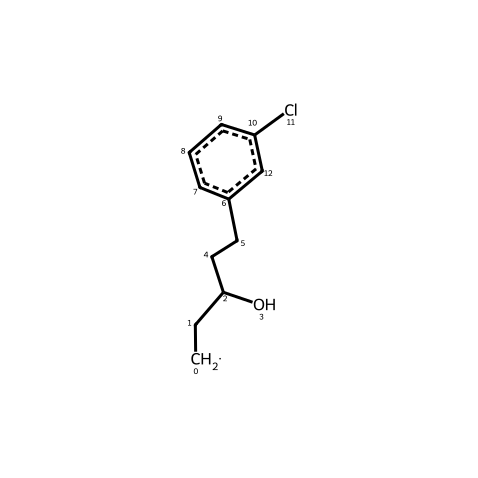 [CH2]CC(O)CCc1cccc(Cl)c1